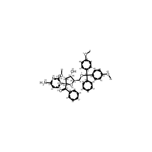 COc1ccc(C(OC[C@H]2O[C@@](C(=O)c3ccccc3)(n3ccc(N)nc3=O)[C@H](OC)[C@@H]2O)(c2ccccc2)c2ccc(OC)cc2)cc1